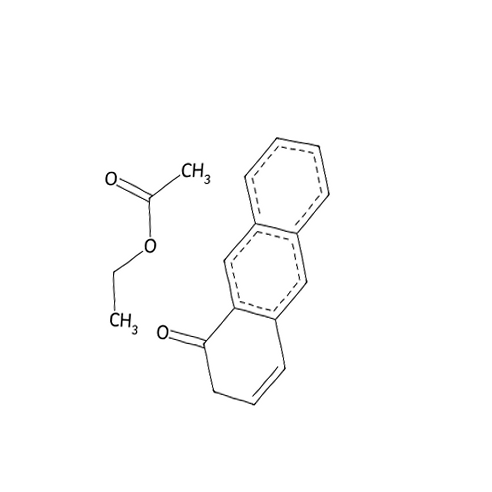 CCOC(C)=O.O=C1CC=Cc2cc3ccccc3cc21